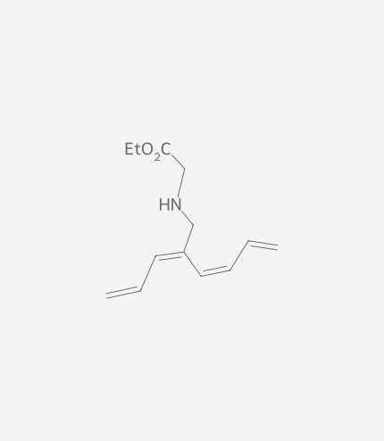 C=C/C=C\C(=C/C=C)CNCC(=O)OCC